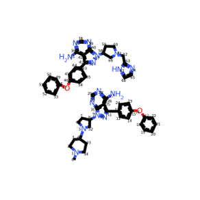 CN1CCC(N2CCC(n3nc(-c4ccc(Oc5ccccc5)cc4)c4c(N)ncnc43)C2)CC1.Nc1ncnc2c1c(-c1ccc(Oc3ccccc3)cc1)nn2C1CCN(Cc2ncc[nH]2)C1